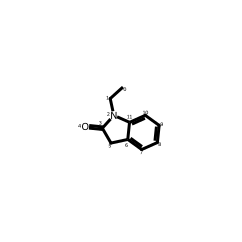 CCN1C(=O)Cc2ccccc21